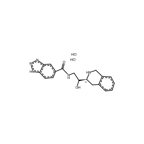 Cl.Cl.O=C(NCC(O)[C@@H]1Cc2ccccc2CN1)c1ccc2[nH]nnc2c1